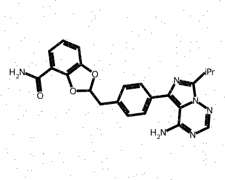 CC(C)c1nc(-c2ccc(CC3Oc4cccc(C(N)=O)c4O3)cc2)c2c(N)ncnn12